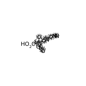 O=C(O)c1cc2c(s1)c(-c1ccccc1)c(-c1ccc3nc(-c4ccc(-n5ccnc5)cc4)ccc3c1)n2CC(=O)N1CCOCC1